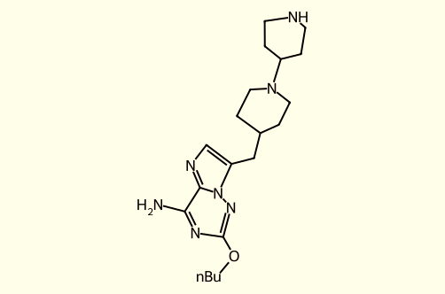 CCCCOc1nc(N)c2ncc(CC3CCN(C4CCNCC4)CC3)n2n1